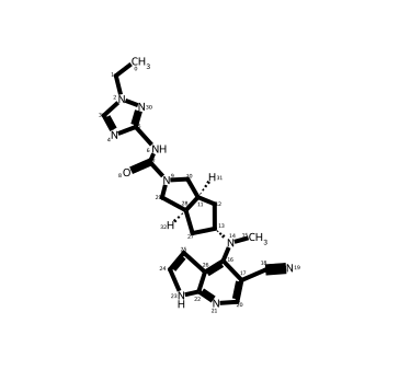 CCn1cnc(NC(=O)N2C[C@H]3C[C@H](N(C)c4c(C#N)cnc5[nH]ccc45)C[C@H]3C2)n1